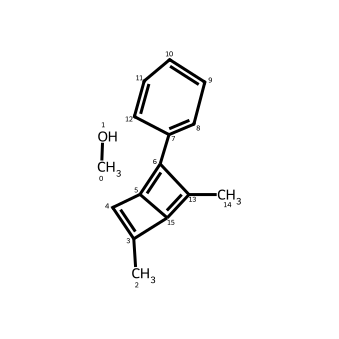 CO.Cc1cc2c(-c3ccccc3)c(C)c1-2